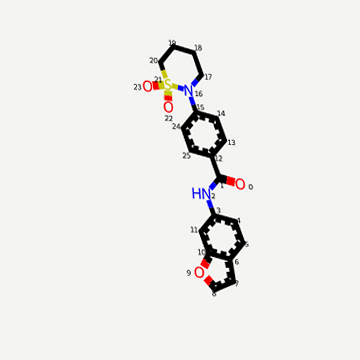 O=C(Nc1ccc2ccoc2c1)c1ccc(N2CCCCS2(=O)=O)cc1